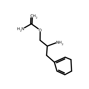 C=C(N)OCC(N)CC1=CCCC=C1